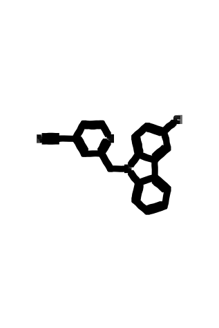 N#Cc1ccnc(Cn2c3ccccc3c3cc(Cl)ccc32)c1